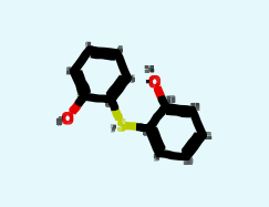 [O]c1ccccc1Sc1ccccc1[O]